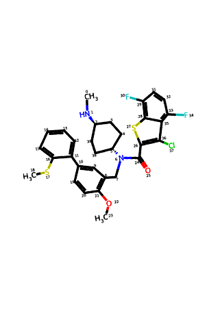 CN[C@H]1CC[C@H](N(Cc2cc(-c3ccccc3SC)ccc2OC)C(=O)c2sc3c(F)ccc(F)c3c2Cl)CC1